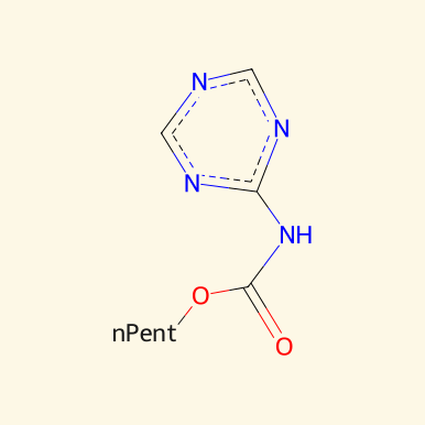 CCCCCOC(=O)Nc1ncncn1